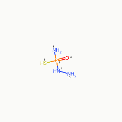 NNP(N)(=O)S